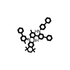 Cc1cc(-c2ccc(-c3ccccc3)cc2Nc2ccc(-c3ccccc3)cc2)c2c(c1)N(c1cc(-c3ccccc3)ccc1C)c1cc3c(cc1B2)C(C)(C)CCC3(C)C